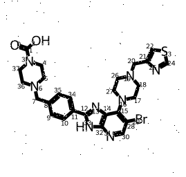 O=C(O)N1CCN(Cc2ccc(-c3nc4c(N5CCN(Cc6cscn6)CC5)c(Br)cnc4[nH]3)cc2)CC1